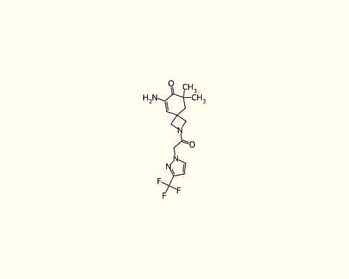 CC1(C)CC2(C=C(N)C1=O)CN(C(=O)Cn1ccc(C(F)(F)F)n1)C2